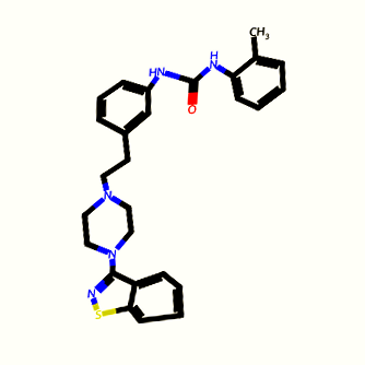 Cc1ccccc1NC(=O)Nc1cccc(CCN2CCN(c3nsc4ccccc34)CC2)c1